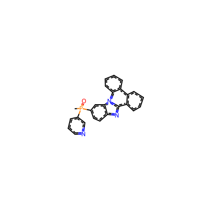 CP(=O)(c1cccnc1)c1ccc2nc3c4ccccc4c4ccccc4n3c2c1